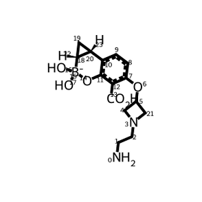 NCCN1CC(Oc2ccc3c(c2C(=O)O)O[B-](O)(O)[C@@H]2C[C@H]32)C1